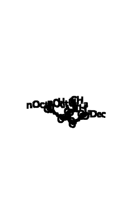 CCCCCCCCCCOC(=O)CCCCCC(=O)OCC(COC(=O)CCCCCCC(=O)OC(CCCCCCCC)CCCCCCCC)COC(=O)OCCN(C)CCN(C)C